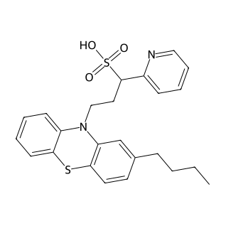 CCCCc1ccc2c(c1)N(CCC(c1ccccn1)S(=O)(=O)O)c1ccccc1S2